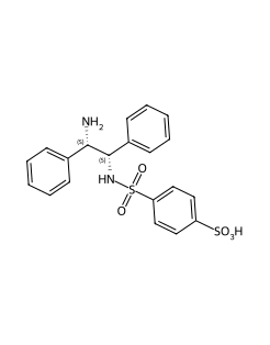 N[C@@H](c1ccccc1)[C@@H](NS(=O)(=O)c1ccc(S(=O)(=O)O)cc1)c1ccccc1